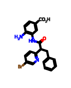 Nc1ccc(C(=O)O)cc1NC(=O)C(Cc1ccccc1)c1ccc(Br)cn1